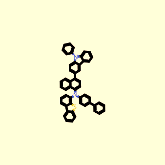 c1ccc(-c2ccc(N(c3ccc(-c4ccc5c(c4)c4ccccc4n5-c4ccccc4)c4ccccc34)c3cccc4c3sc3ccccc34)cc2)cc1